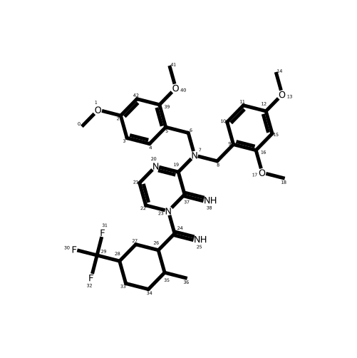 COc1ccc(CN(Cc2ccc(OC)cc2OC)c2nccn(C(=N)C3CC(C(F)(F)F)CCC3C)c2=N)c(OC)c1